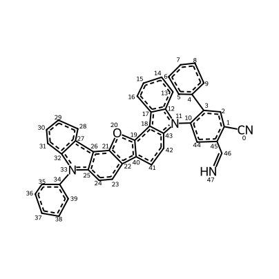 N#Cc1cc(-c2ccccc2)c(-n2c3ccccc3c3c4oc5c(ccc6c5c5ccccc5n6-c5ccccc5)c4ccc32)cc1C=N